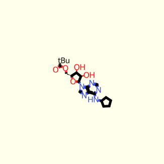 CC(C)(C)C(=O)OC[C@H]1OC(n2cnc3c(NC4CCCC4)ncnc32)[C@H](O)[C@@H]1O